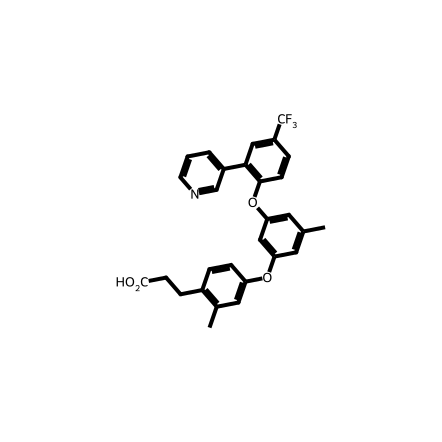 Cc1cc(Oc2ccc(CCC(=O)O)c(C)c2)cc(Oc2ccc(C(F)(F)F)cc2-c2cccnc2)c1